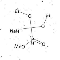 CCOC(C)(OCC)[PH](=O)OC.[NaH]